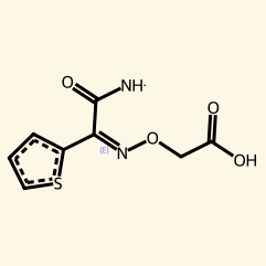 [NH]C(=O)/C(=N\OCC(=O)O)c1cccs1